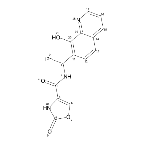 CC(C)C(NC(=O)c1coc(=O)[nH]1)c1ccc2cccnc2c1O